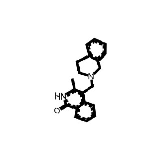 Cc1[nH]c(=O)c2ccccc2c1CN1CCc2ccccc2C1